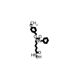 COc1ccc(CO[C@H](CCCCCC(=O)NO)C(=O)Nc2ccccc2)cc1